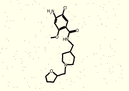 COc1cc(N)c(Cl)cc1C(=O)NCC1CCN(CC2CCCO2)CC1